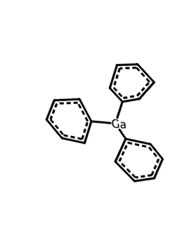 c1cc[c]([Ga]([c]2ccccc2)[c]2ccccc2)cc1